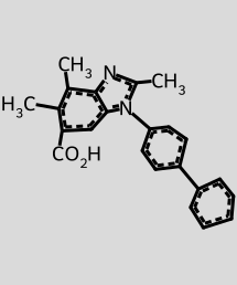 Cc1c(C(=O)O)cc2c(nc(C)n2-c2ccc(-c3ccccc3)cc2)c1C